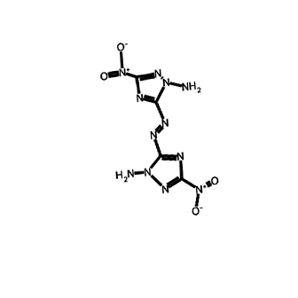 Nn1nc([N+](=O)[O-])nc1N=Nc1nc([N+](=O)[O-])nn1N